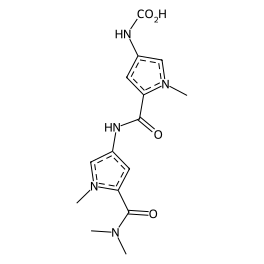 CN(C)C(=O)c1cc(NC(=O)c2cc(NC(=O)O)cn2C)cn1C